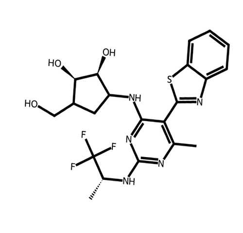 Cc1nc(N[C@H](C)C(F)(F)F)nc(NC2CC(CO)[C@@H](O)[C@H]2O)c1-c1nc2ccccc2s1